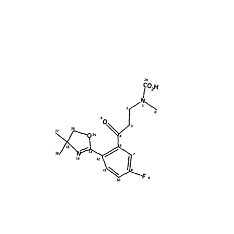 CN(CCC(=O)c1cc(F)ccc1C1=NC(C)(C)CO1)C(=O)O